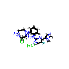 Cc1ncc(-c2nc(Nc3ccccc3N3CCNC(Cl)C3)ncc2F)n1C(C)C.Cl